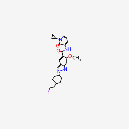 COc1cc2nn(C3CCC(CCI)CC3)cc2cc1C(=O)Nc1cccn(C2CC2)c1=O